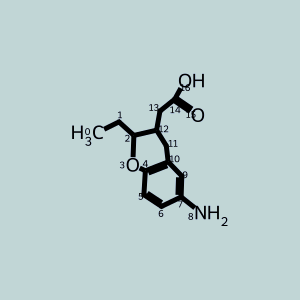 CCC1Oc2ccc(N)cc2CC1CC(=O)O